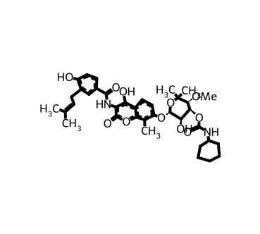 CO[C@@H]1[C@@H](OC(=O)NC2CCCCC2)[C@@H](O)[C@H](Oc2ccc3c(O)c(NC(=O)c4ccc(O)c(CC=C(C)C)c4)c(=O)oc3c2C)OC1(C)C